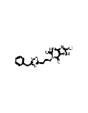 O=c1[nH]c2nc(Cl)[nH]c2c(=O)n1CCCc1nc(Cc2ccccc2)no1